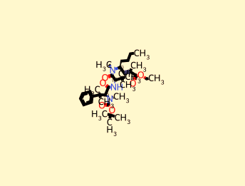 CCCC[C@@H](/C=C(\C)C(=O)OCC)N(C)C(=O)[C@@H](NC(=O)[C@@H](N(C)C(=O)OC(C)(C)C)C(C)(C)c1ccccc1)C(C)(C)C